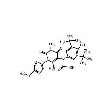 COc1ccc(-n2c(N)c(N(C(=O)O)c3cc(C(C)(C)C)c(O)c(C(C)(C)C)c3)c(=O)n(C)c2=O)cc1